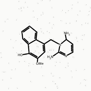 COc1cc(CN2C(N)=NC=CC2N)c2ccccc2c1O